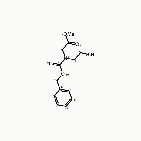 COC(=O)CN(CCC#N)C(=O)OCc1ccccc1